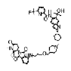 CC(C)(O)c1cc2nn([C@H]3CC[C@H](CN4CCC(COCCCNc5cccc6c5C(=O)N(C5CCC(=O)NC5=O)C6=O)CC4)CC3)cc2cc1NC(=O)c1cccc(C(C)(C)F)n1